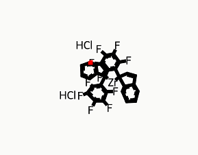 Cl.Cl.Fc1c(F)c(F)c([C]2([Zr][C]3(c4c(F)c(F)c(F)c(F)c4F)C=Cc4ccccc43)C=Cc3ccccc32)c(F)c1F